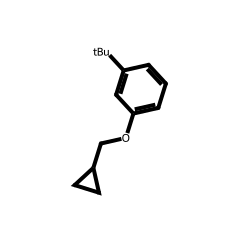 CC(C)(C)c1cccc(OCC2CC2)c1